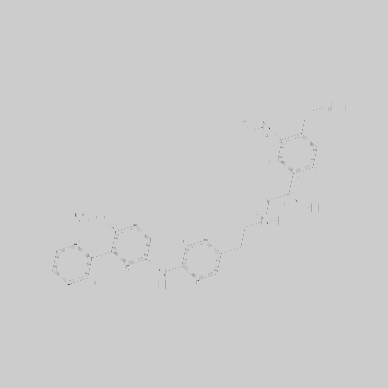 CCCCOc1ccc([C@@H](O)CNCCc2ccc(Nc3ccc(OC)c(-c4ccccc4)c3)cc2)cc1NC=O